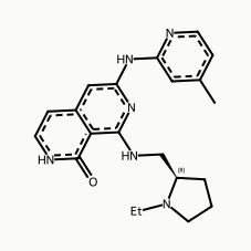 CCN1CCC[C@@H]1CNc1nc(Nc2cc(C)ccn2)cc2cc[nH]c(=O)c12